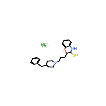 Cl.Cl.SC1Nc2ccccc2OC1CCCN1CCC(Cc2ccccc2)CC1